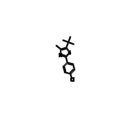 Cc1nc(-c2ccc(Cl)cc2)sc1C(C)(C)C